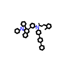 C=c1cccc/c1=C/C=C(\C)N(c1ccc(-c2ccc(-c3ccccc3)cc2)cc1)c1cccc(-c2cc3ccccc3c3c2c2ccccc2n3-c2ccccc2)c1